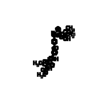 COC(=O)N[C@@H](CC(C)C)C(=O)N1CCC[C@H]1c1ncc(-c2ccc3oc(-c4ccc(-c5cnc([C@@H]6CCCN6C(=O)[C@H](CC(C)C)N(C)C(=O)O)[nH]5)cc4)cc3c2)[nH]1